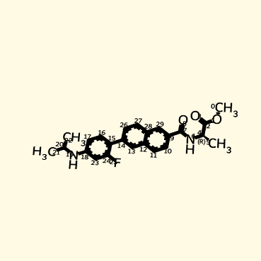 COC(=O)[C@@H](C)NC(=O)c1ccc2cc(-c3ccc(NC(C)C)cc3F)ccc2c1